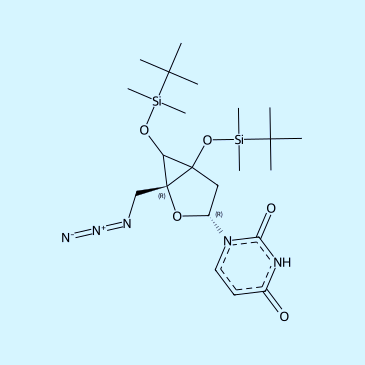 CC(C)(C)[Si](C)(C)OC1C2(O[Si](C)(C)C(C)(C)C)C[C@H](n3ccc(=O)[nH]c3=O)O[C@]12CN=[N+]=[N-]